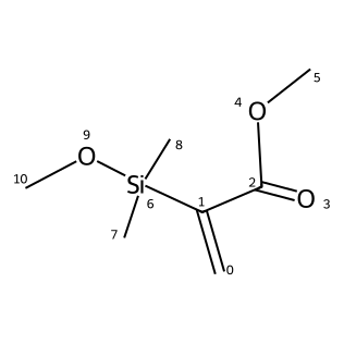 C=C(C(=O)OC)[Si](C)(C)OC